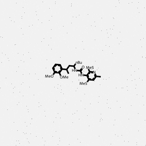 CCCCC(CC(C)c1cccc(OC)c1OC)NC(=O)Nc1c(SC)cc(C)nc1SC